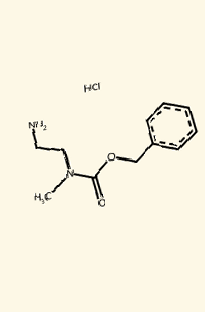 CN(CCN)C(=O)OCc1ccccc1.Cl